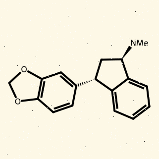 CN[C@@H]1C[C@@H](c2ccc3c(c2)OCO3)c2ccccc21